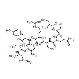 CC(C)C[C@H](NC(=O)[C@H](CCC(N)=O)NC(=O)[C@H](CC(C)C)NC(=O)[C@@H](N)CC(C)C)C(=O)N[C@@H](CCCNC(=N)N)C(=O)N[C@@H](CC(N)=O)C(=O)N[C@@H](Cc1ccc(O)cc1)C(=O)N[C@@H](CS)C(=O)N[C@@H](CC(N)=O)C(=O)O